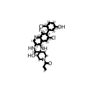 C=CC(=O)N1CCC2(CC1)Nc1c(cnc3c(F)c(-c4cc(O)ccc4Cl)c(Cl)cc13)NC2O